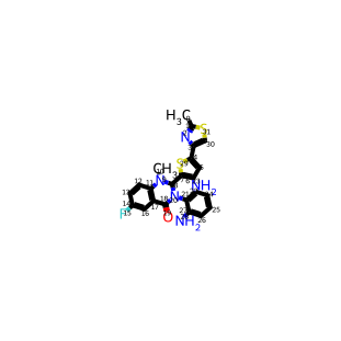 Cc1nc(-c2ccc(C3N(C)c4ccc(F)cc4C(=O)N3c3c(N)cccc3N)s2)cs1